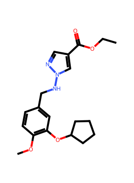 CCOC(=O)c1cnn(NCc2ccc(OC)c(OC3CCCC3)c2)c1